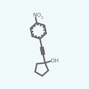 O=[N+]([O-])c1ccc(C#CC2(O)CCCC2)cc1